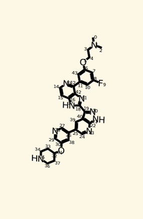 CN(C)CCOc1cc(F)cc(-c2nccc3[nH]c(-c4n[nH]c5ncc(-c6cncc(OC7CCNCC7)c6)cc45)nc23)c1